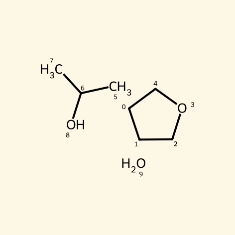 C1CCOC1.CC(C)O.O